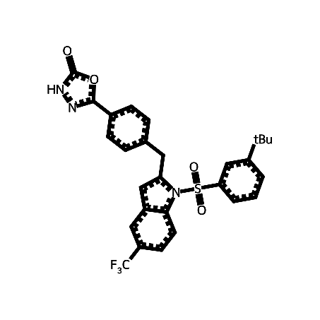 CC(C)(C)c1cccc(S(=O)(=O)n2c(Cc3ccc(-c4n[nH]c(=O)o4)cc3)cc3cc(C(F)(F)F)ccc32)c1